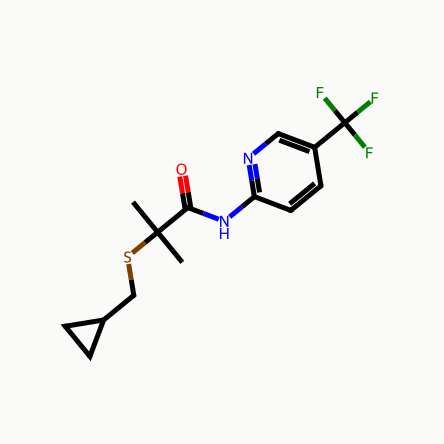 CC(C)(SCC1CC1)C(=O)Nc1ccc(C(F)(F)F)cn1